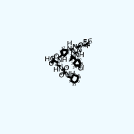 O=C(NCC[C@H](NC(=O)c1ccc(Nc2nc(NC3(c4ccc(Cl)cc4)CC3)nc(OCC(F)(F)F)n2)cc1)C(=O)O)C(=O)NCC1CCCCCC1